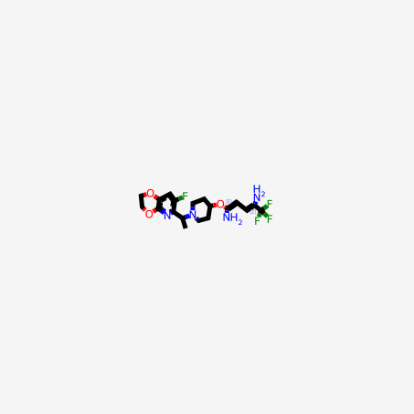 CC(c1nc2c(cc1F)OCCO2)N1CCC(O/C(N)=C/C=C(\N)C(F)(F)F)CC1